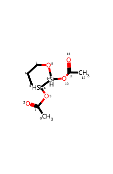 CC(=O)O[SiH]1CCCO[SiH]1OC(C)=O